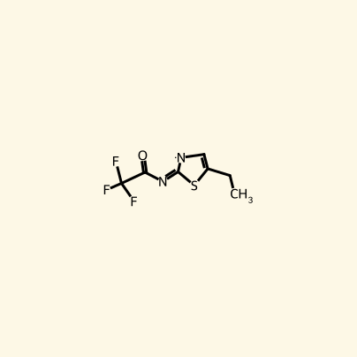 CCC1=C[N]C(=NC(=O)C(F)(F)F)S1